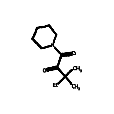 CCC(C)(C)C(=O)C(=O)N1CCCCC1